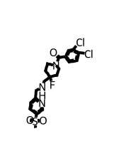 CS(=O)(=O)c1ccc(CNCC2(F)CCN(C(=O)c3ccc(Cl)c(Cl)c3)CC2)nc1